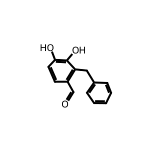 O=Cc1ccc(O)c(O)c1Cc1ccccc1